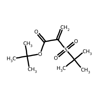 C=C(C(=O)OC(C)(C)C)S(=O)(=O)C(C)(C)C